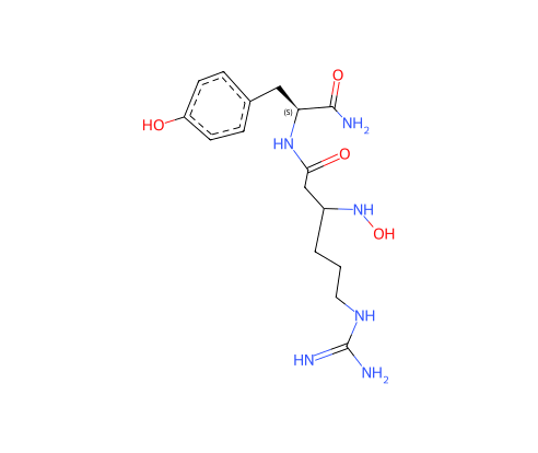 N=C(N)NCCCC(CC(=O)N[C@@H](Cc1ccc(O)cc1)C(N)=O)NO